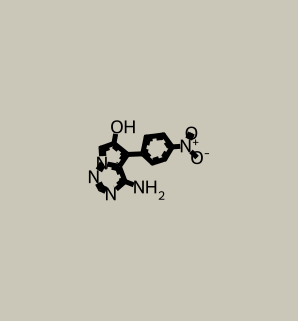 Nc1ncnn2cc(O)c(-c3ccc([N+](=O)[O-])cc3)c12